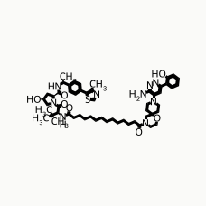 Cc1ncsc1-c1ccc([C@H](C)NC(=O)[C@@H]2C[C@@H](O)CN2C(=O)[C@@H](NC(=O)CCCCCCCCCCCCC(=O)N2CCOC3(CCN(c4cc(-c5ccccc5O)nnc4N)CC3)C2)C(C)(C)C)cc1